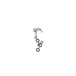 CC1CCCN1CCCOc1ccc(-n2nc(-c3ccccc3)ccc2=O)cc1